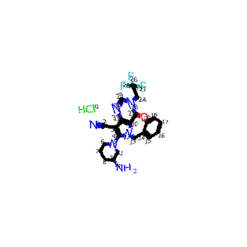 Cl.N#Cc1c(N2CCCC(N)C2)n(Cc2ccccc2)c2c(=O)n(CC(F)(F)F)cnc12